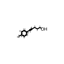 OCCCC#Cc1ccc(I)cc1